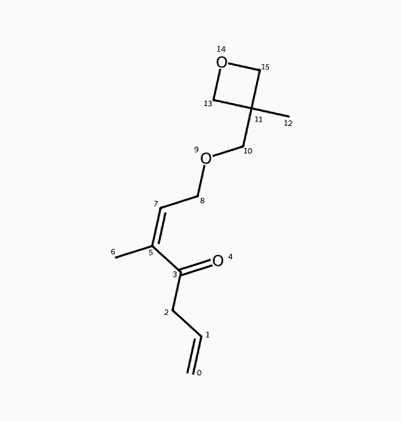 C=CCC(=O)C(C)=CCOCC1(C)COC1